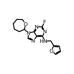 Fc1nc(NCc2ccco2)c2ncn(C3CCCCCO3)c2n1